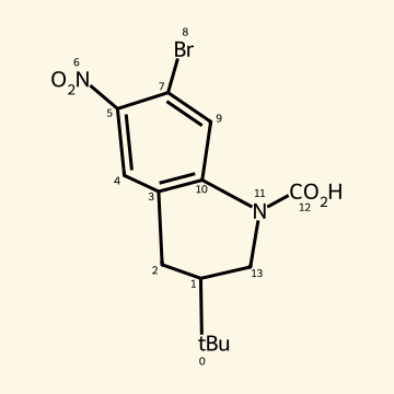 CC(C)(C)C1Cc2cc([N+](=O)[O-])c(Br)cc2N(C(=O)O)C1